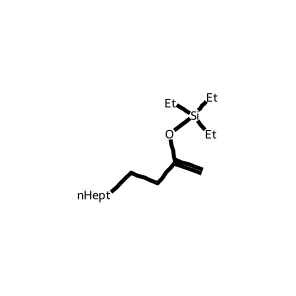 C=C(CCCCCCCCC)O[Si](CC)(CC)CC